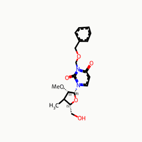 CO[C@H]1C(C)[C@@H](CO)O[C@H]1n1ccc(=O)n(COCc2ccccc2)c1=O